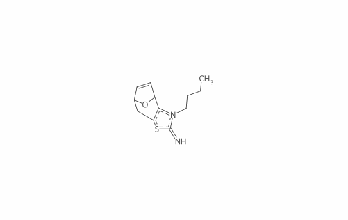 CCCCn1c2c(sc1=N)CC1C=CC2O1